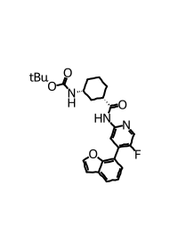 CC(C)(C)OC(=O)N[C@@H]1CCC[C@H](C(=O)Nc2cc(-c3cccc4ccoc34)c(F)cn2)C1